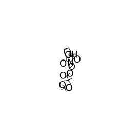 CC1(C)OCC(C)(C(=O)OCON2C(=O)C3C4C=CC(O4)[C@H]3C2=O)CO1